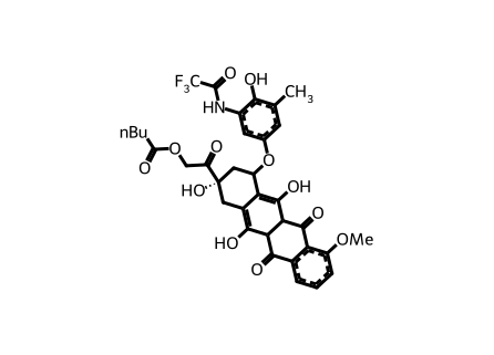 CCCCC(=O)OCC(=O)[C@]1(O)CC2=C(O)C3C(=O)c4cccc(OC)c4C(=O)C3C(O)=C2C(Oc2cc(C)c(O)c(NC(=O)C(F)(F)F)c2)C1